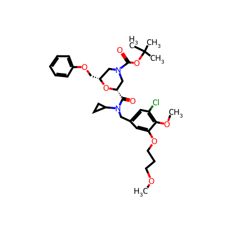 COCCCOc1cc(CN(C(=O)[C@H]2CN(C(=O)OC(C)(C)C)C[C@@H](COc3ccccc3)O2)C2CC2)cc(Cl)c1OC